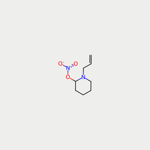 C=CCN1CCCCC1O[N+](=O)[O-]